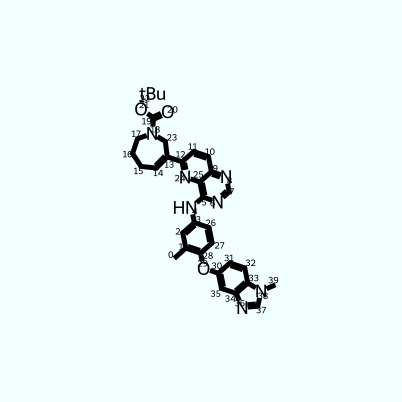 Cc1cc(Nc2ncnc3ccc(C4=CCCCN(C(=O)OC(C)(C)C)C4)nc23)ccc1Oc1ccc2c(c1)ncn2C